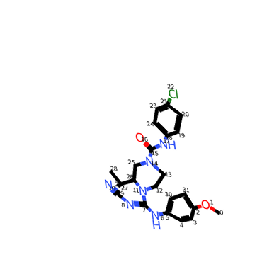 COc1ccc(N/C(=N/C#N)N2CCN(C(=O)Nc3ccc(Cl)cc3)CC2C(C)C)cc1